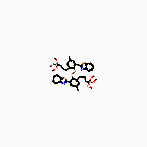 CO[Si](CCCc1cc(C)cc(-c2nc3ccccc3s2)c1SSc1c(CCC[Si](OC)(OC)OC)cc(C)cc1-c1nc2ccccc2s1)(OC)OC